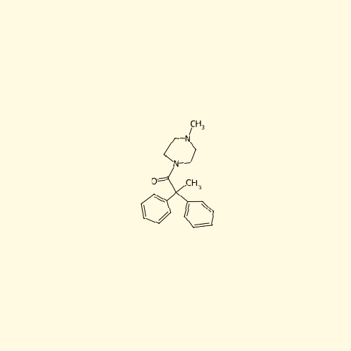 CN1CCN(C(=O)C(C)(c2ccccc2)c2ccccc2)CC1